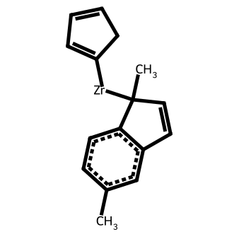 Cc1ccc2c(c1)C=C[C]2(C)[Zr][C]1=CC=CC1